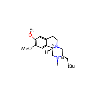 CCOc1cc2c(cc1OC)[C@H]1CN(C)[C@H](CC(C)(C)C)CN1CC2